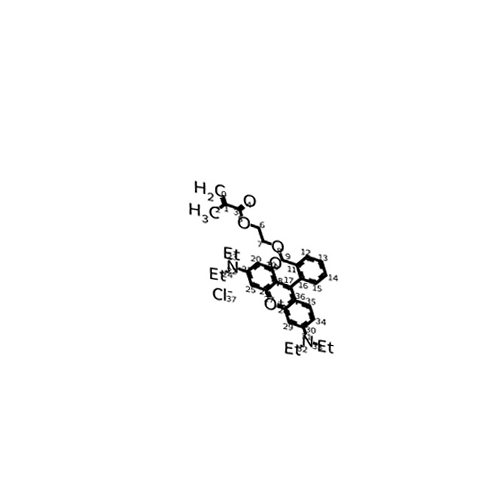 C=C(C)C(=O)OCCOC(=O)c1ccccc1-c1c2ccc(N(CC)CC)cc2[o+]c2cc(N(CC)CC)ccc12.[Cl-]